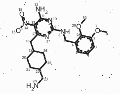 COc1cccc(CNc2nc(N)c([N+](=O)[O-])c(CC3CCC(CN)CC3)n2)c1OC